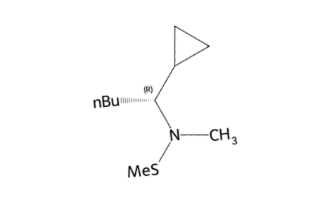 CCCC[C@H](C1CC1)N(C)SC